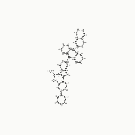 CC(C)n1c(-c2ccc(-c3ccccc3)cc2)nc2cc(-c3c4ccccc4c(-c4ccc5ccccc5c4)c4ccccc34)ccc21